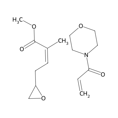 C=CC(=O)N1CCOCC1.COC(=O)C(C)=CCC1CO1